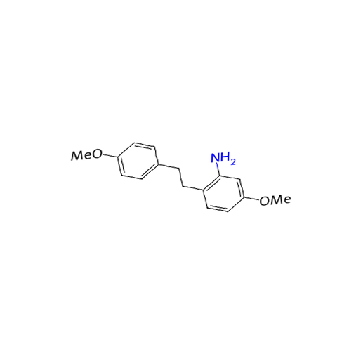 COc1ccc(CCc2ccc(OC)cc2N)cc1